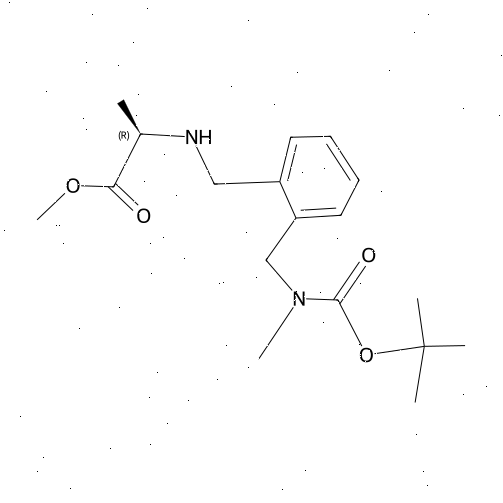 COC(=O)[C@@H](C)NCc1ccccc1CN(C)C(=O)OC(C)(C)C